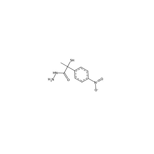 CC(S)(C(=O)NN)c1ccc([N+](=O)[O-])cc1